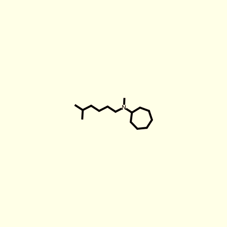 CC(C)CCCCN(C)C1CCCCCC1